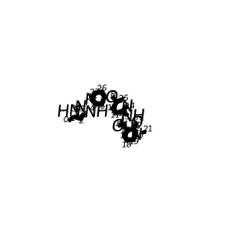 Cc1cc(Nc2cc(Oc3ccc(NC(=O)c4cccn(C)c4=O)nc3)ccn2)n[nH]1